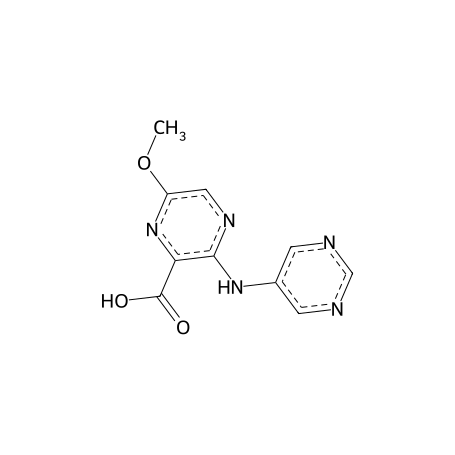 COc1cnc(Nc2cncnc2)c(C(=O)O)n1